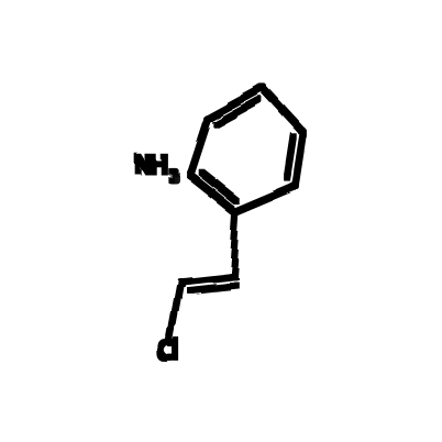 ClC=Cc1ccccc1.N